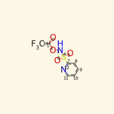 O=C(ONS(=O)(=O)c1ccccn1)C(F)(F)F